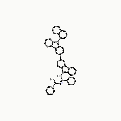 N=C(/N=C(\Nn1c2ccccc2c2cc(-c3ccc4c(c3)c3ccccc3n4-c3cccc4ccccc34)ccc21)c1ccccc1)c1ccccc1